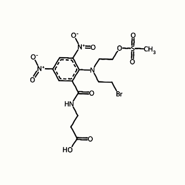 CS(=O)(=O)OCCN(CCBr)c1c(C(=O)NCCC(=O)O)cc([N+](=O)[O-])cc1[N+](=O)[O-]